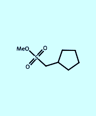 COS(=O)(=O)CC1CCCC1